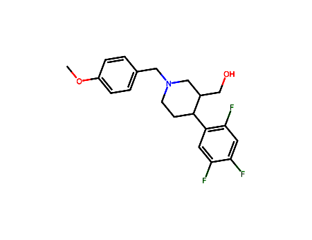 COc1ccc(CN2CCC(c3cc(F)c(F)cc3F)C(CO)C2)cc1